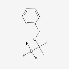 CC(C)(OCc1ccccc1)[B-](F)(F)F